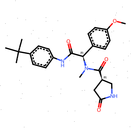 COc1ccc([C@H](C(=O)Nc2ccc(C(C)(C)C)cc2)N(C)C(=O)[C@H]2CNC(=O)C2)cc1